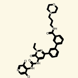 CCn1nc(-c2cccc(-c3cccc(C(=O)NCCCN4CCOCC4)c3)c2)cc(NC(=O)Nc2c(Cl)cncc2Cl)c1=O